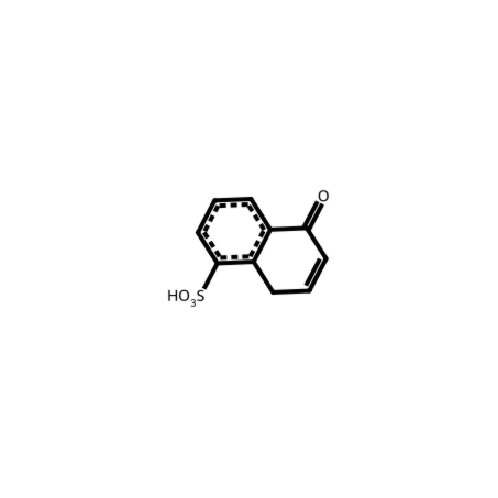 O=C1C=CCc2c1cccc2S(=O)(=O)O